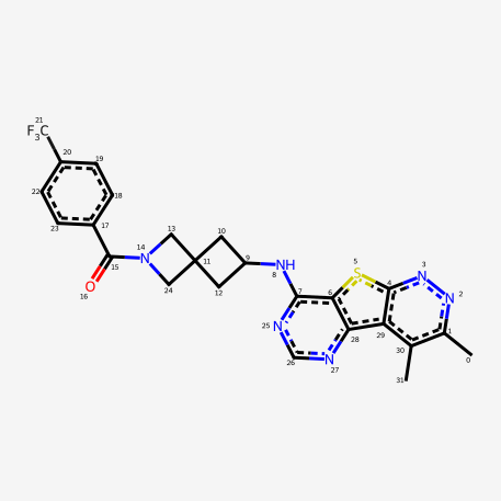 Cc1nnc2sc3c(NC4CC5(C4)CN(C(=O)c4ccc(C(F)(F)F)cc4)C5)ncnc3c2c1C